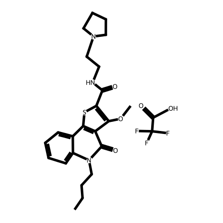 CCCCn1c(=O)c2c(OC)c(C(=O)NCCN3CCCC3)sc2c2ccccc21.O=C(O)C(F)(F)F